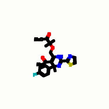 COC(=O)C1=C(COC(C)(C)C(=O)OC)NC(c2nccs2)=NC1(C)c1ccc(F)cc1